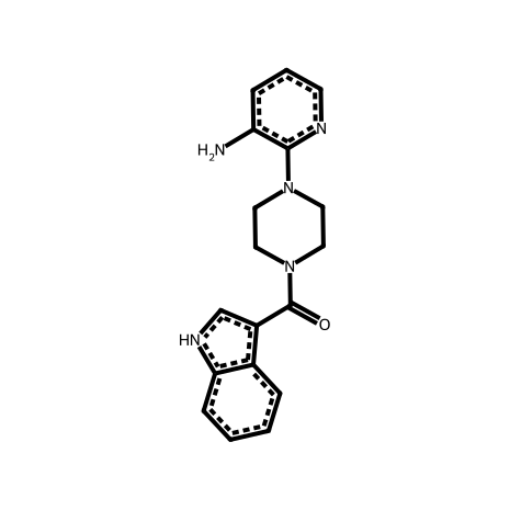 Nc1cccnc1N1CCN(C(=O)c2c[nH]c3ccccc23)CC1